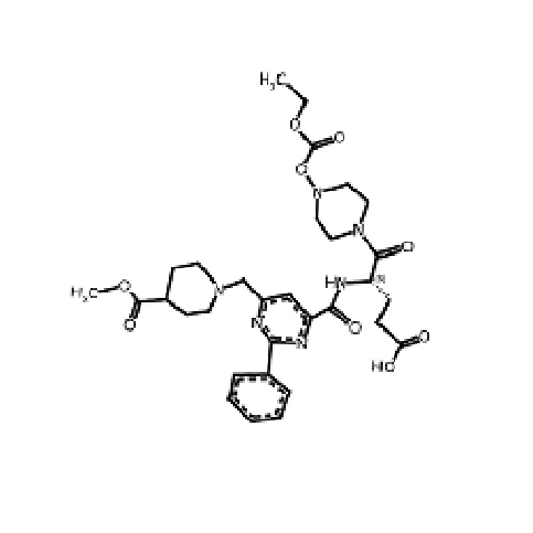 CCOC(=O)ON1CCN(C(=O)[C@H](CCC(=O)O)NC(=O)c2cc(CN3CCC(C(=O)OC)CC3)nc(-c3ccccc3)n2)CC1